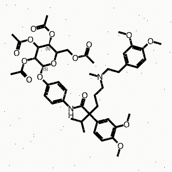 COc1ccc(CCN(C)CCCC(C(=O)Nc2ccc(O[C@@H]3OC(COC(C)=O)[C@H](OC(C)=O)C(OC(C)=O)C3OC(C)=O)cc2)(c2ccc(OC)c(OC)c2)C(C)C)cc1OC